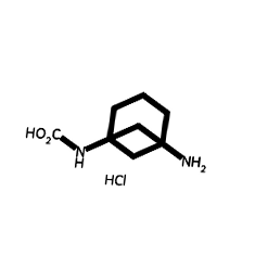 Cl.NC12CCCC(NC(=O)O)(C1)C2